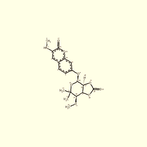 CNc1cc2ccc(O[C@@H]3OC(C)(C)[C@H](OC)C4OC(=O)O[C@@H]43)cc2oc1=O